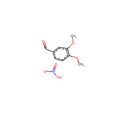 COc1ccc(C=O)cc1OC.O=[N+]([O-])O